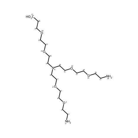 NCCOCCOCCN(CCOCCOCCN)CCOCCOCCC(=O)O